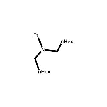 CCCCCCCN(CC)CCCCCCC